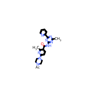 CC(=O)N1CCN(c2ccc(C(=O)Nc3nc(C)nc(-c4ccccn4)n3)c(C)n2)CC1